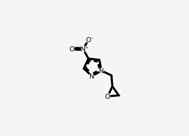 O=[N+]([O-])c1cnn(CC2CO2)c1